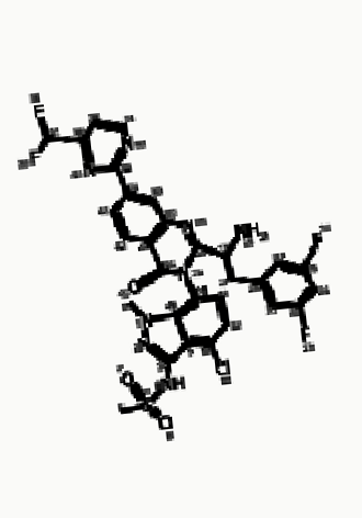 Cn1nc(NS(C)(=O)=O)c2c(Cl)ccc(-n3c(C(N)Cc4cc(F)cc(F)c4)nc4cc(-c5nccc(C(F)F)n5)ccc4c3=O)c21